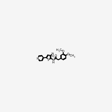 COc1ccc(CC(=O)Nc2sc(-c3ccncc3)cc2N)cc1OC